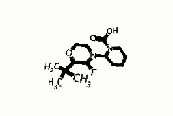 CC(C)(C)C1OCCN(C2CCCCN2C(=O)O)C1F